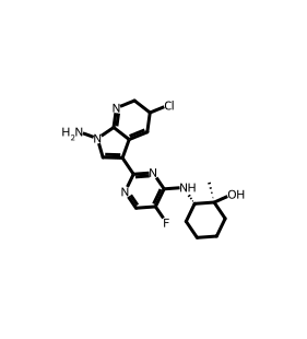 C[C@]1(O)CCCC[C@@H]1Nc1nc(-c2cn(N)c3c2=CC(Cl)CN=3)ncc1F